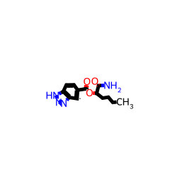 CCCCC(OC(=O)c1[c]c2nn[nH]c2cc1)C(N)=O